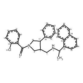 CC(NCC1CN(C(=O)c2ccccc2Cl)CC1c1ccccc1)c1cccc2ccccc12